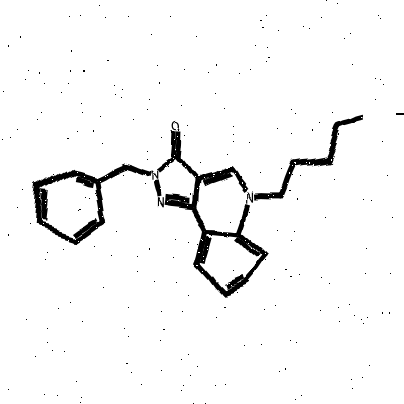 CCCCCn1cc2c(=O)n(Cc3ccccc3)nc-2c2ccccc21